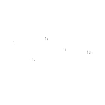 c1cc2c(N3CCNCC3)nc3ccsc3n2c1